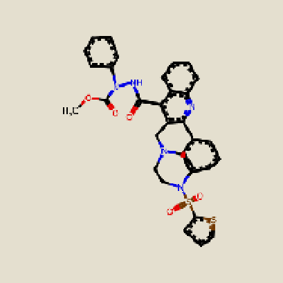 COC(=O)N(NC(=O)c1c(CN2CCN(S(=O)(=O)c3cccs3)CC2)c(-c2ccccc2)nc2ccccc12)c1ccccc1